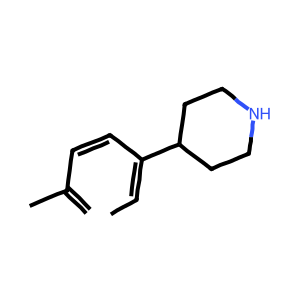 C=C(C)/C=C\C(=C/C)C1CCNCC1